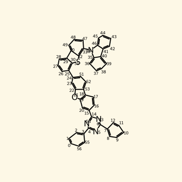 c1ccc(-c2nc(-c3ccccc3)nc(-c3ccc4c(c3)oc3cc(-c5cccc6c5sc5c(-n7c8ccccc8c8ccccc87)cccc56)ccc34)n2)cc1